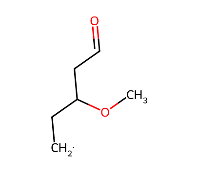 [CH2]CC(CC=O)OC